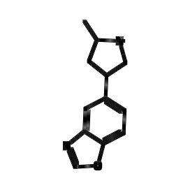 CC1CC(c2ccc3ocnc3c2)C[N]1